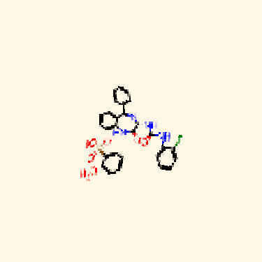 O.O=C(Nc1ccccc1F)N[C@H]1N=C(c2ccccc2)c2ccccc2NC1=O.O=S(=O)(O)c1ccccc1